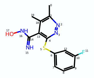 Cc1nnc(Sc2cccc(F)c2)c(C(=N)NO)c1C